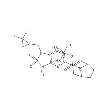 CN1c2nc(C3=CC4CCC(C3)N4C(=O)OC(C)(C)C)ccc2N(CC2CC2(F)F)S1(=O)=O